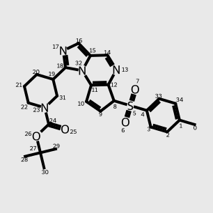 Cc1ccc(S(=O)(=O)C2C=Cc3c2ncc2cnc(C4CCCN(C(=O)OC(C)(C)C)C4)n32)cc1